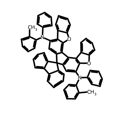 Cc1ccccc1N(c1ccccc1)c1cc2c(c3c1oc1ccccc13)-c1c(cc(N(c3ccccc3)c3ccccc3C)c3c1oc1ccccc13)C21c2ccccc2-c2ccccc21